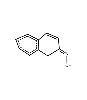 ON=C1C=Cc2ccccc2C1